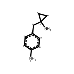 Nc1ccc(CC2(N)CC2)cc1